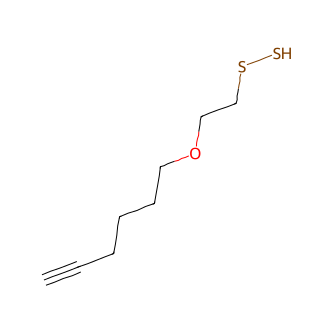 C#CCCCCOCCSS